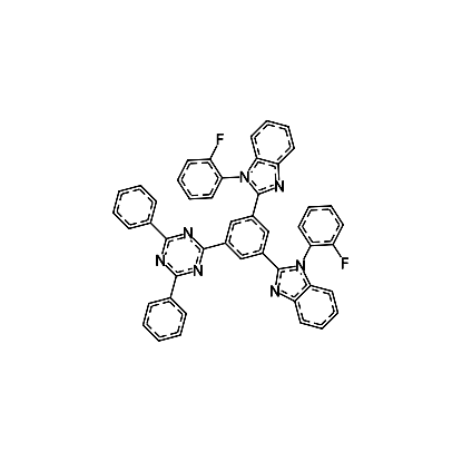 Fc1ccccc1-n1c(-c2cc(-c3nc(-c4ccccc4)nc(-c4ccccc4)n3)cc(-c3nc4ccccc4n3-c3ccccc3F)c2)nc2ccccc21